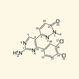 Cn1nc(-c2cnc(N)nc2-c2ccc(Cl)c(Cl)c2)ccc1=O